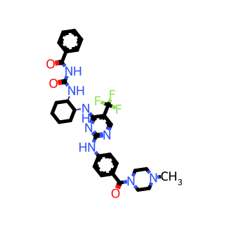 CN1CCN(C(=O)c2ccc(Nc3ncc(C(F)(F)F)c(N[C@@H]4CCCC[C@@H]4NC(=O)NC(=O)c4ccccc4)n3)cc2)CC1